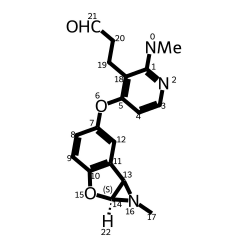 CNc1nccc(Oc2ccc3c(c2)C2[C@H](O3)N2C)c1CCC=O